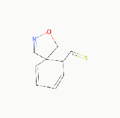 S=CC1C=CC=CC12[C]=NOC2